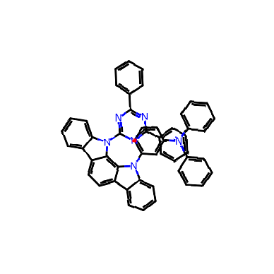 c1ccc(-c2nc(-c3ccccc3)nc(-n3c4ccccc4c4ccc5c6ccccc6n(-c6cccc(N(c7ccccc7)c7ccccc7)c6)c5c43)n2)cc1